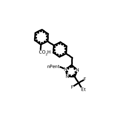 CCCCCn1nc(C(F)(F)CC)nc1Cc1ccc(-c2ccccc2C(=O)O)cc1